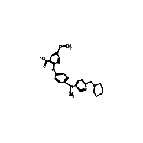 COc1ccc(Nc2ccc(N(C)c3ccc(CN4CCCCC4)cc3)cc2)c(C(=O)O)c1